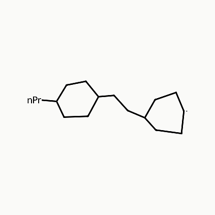 CCCC1CCC(CCC2CC[CH]CC2)CC1